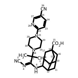 CC(C)(/C(=N\C#N)NC1C2CC3CC1CC(C(=O)O)(C3)C2)N1CCN(c2ccc(C#N)cn2)CC1